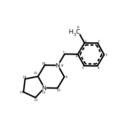 Cc1ccccc1CN1CCN2CCCC2C1